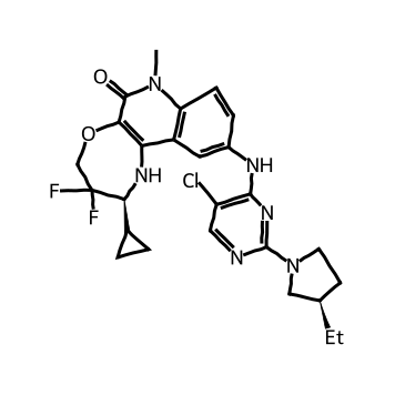 CC[C@@H]1CCN(c2ncc(Cl)c(Nc3ccc4c(c3)c3c(c(=O)n4C)OCC(F)(F)[C@H](C4CC4)N3)n2)C1